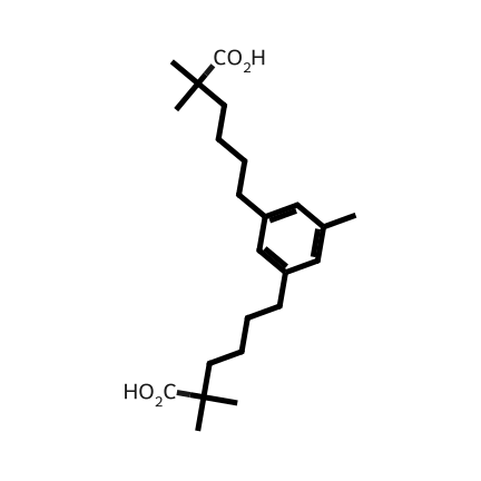 Cc1cc(CCCCC(C)(C)C(=O)O)cc(CCCCC(C)(C)C(=O)O)c1